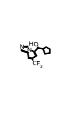 OC(c1cc(C(F)(F)F)cc2cncn12)C1CCCC1